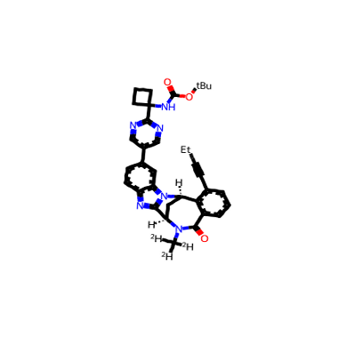 [2H]C([2H])([2H])N1C(=O)c2cccc(C#CCC)c2[C@H]2C[C@@H]1c1nc3ccc(-c4cnc(C5(NC(=O)OC(C)(C)C)CCC5)nc4)cc3n12